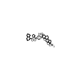 C[C@H]1CCC2C3CCC4C[C@H](O)[C@@H](N5CCN(C(=O)[C@@H]6CCCN6C(=O)c6cccc7ccccc67)CC5)C[C@]4(C)C3CC[C@@]21C